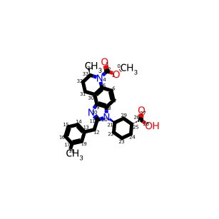 COC(=O)N1c2ccc3c(nc(Cc4cccc(C)c4)n3[C@@H]3CCC[C@@H](C(=O)O)C3)c2CC[C@@H]1C